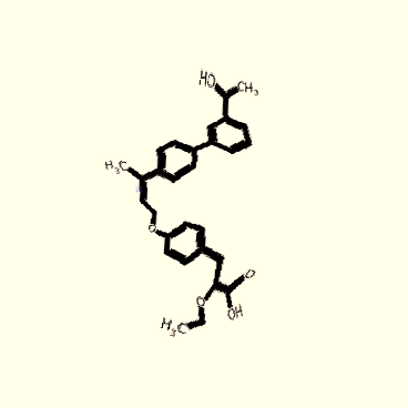 CCOC(Cc1ccc(OC/C=C(/C)c2ccc(-c3cccc(C(C)O)c3)cc2)cc1)C(=O)O